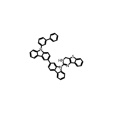 c1ccc(-c2cccc(-n3c4ccccc4c4cc(-c5ccc6c7ccccc7n(C7=Nc8c(sc9ccccc89)CN7)c6c5)ccc43)c2)cc1